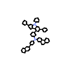 c1ccc(-c2ccc3c4c(-c5cccc(N(c6ccc(-c7ccc8ccccc8c7)cc6)c6ccc7c(ccc8ccccc87)c6)c5)cc(-c5ccccc5)cc4n(-c4ccccc4)c3c2)cc1